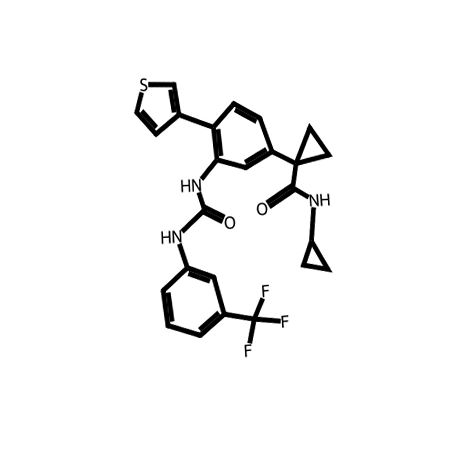 O=C(Nc1cccc(C(F)(F)F)c1)Nc1cc(C2(C(=O)NC3CC3)CC2)ccc1-c1ccsc1